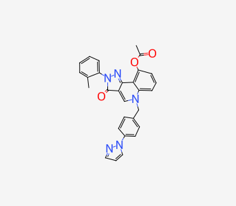 CC(=O)Oc1cccc2c1c1nn(-c3ccccc3C)c(=O)c-1cn2Cc1ccc(-n2cccn2)cc1